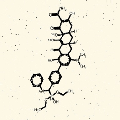 CCO[PH](O)(OCC)C(Nc1ccccc1)c1ccc(-c2cc(N(C)C)c3c(c2O)C(=O)C2=C(O)[C@]4(O)C(=O)C(C(N)=O)=C(O)C[C@@H]4C[C@@H]2C3)cc1